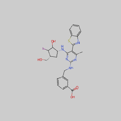 Cc1nc(NCc2cccc(C(=O)O)c2)nc(N[C@@H]2C[C@H](CO)C(I)C2O)c1-c1nc2ccccc2s1